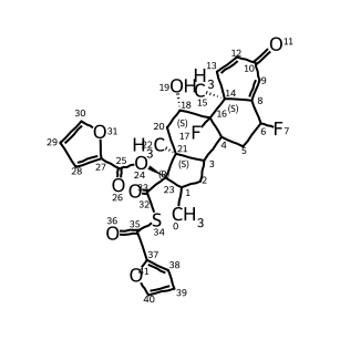 CC1CC2C3CC(F)C4=CC(=O)C=C[C@]4(C)C3(F)[C@@H](O)C[C@]2(C)[C@@]1(OC(=O)c1ccco1)C(=O)SC(=O)c1ccco1